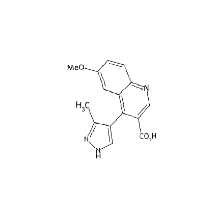 COc1ccc2ncc(C(=O)O)c(-c3c[nH]nc3C)c2c1